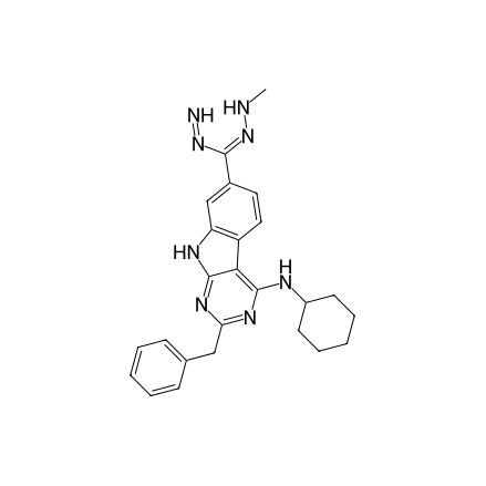 CN/N=C(\N=N)c1ccc2c(c1)[nH]c1nc(Cc3ccccc3)nc(NC3CCCCC3)c12